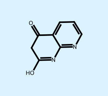 O=C1CC(O)=Nc2ncccc21